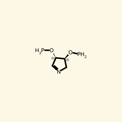 PO[C@H]1C=NC[C@@H]1OP